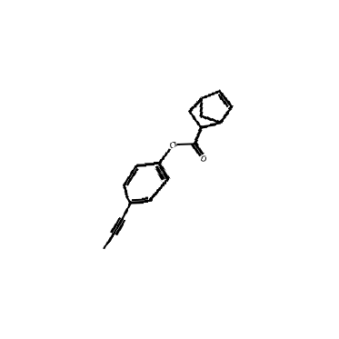 CC#Cc1ccc(OC(=O)C2CC3C=CC2C3)cc1